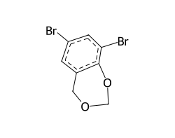 Brc1cc(Br)c2c(c1)COCO2